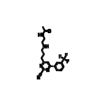 CC(=O)NCCNCCCc1cc(-c2cccc(C(F)(F)F)c2)nc(C#N)n1